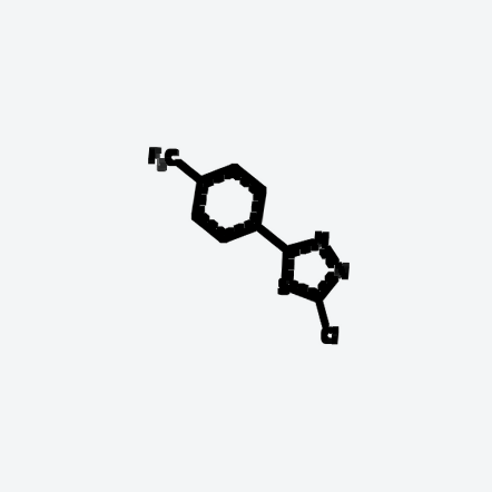 FC(F)(F)c1ccc(-c2nnc(Cl)s2)cc1